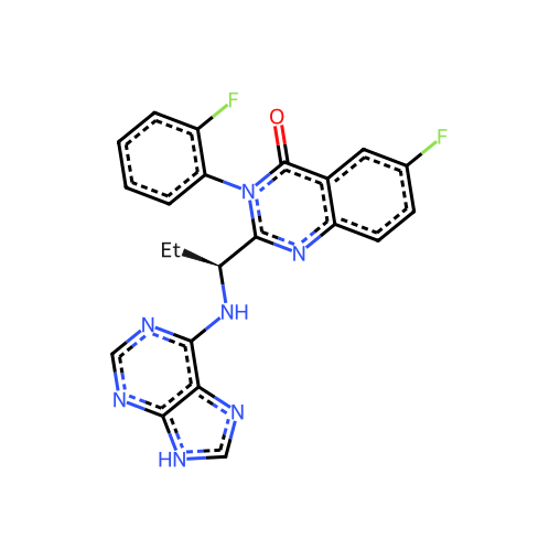 CC[C@H](Nc1ncnc2[nH]cnc12)c1nc2ccc(F)cc2c(=O)n1-c1ccccc1F